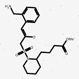 COC(=O)CCCC1CCCCN1S(=O)(=O)CC(Cl)=Cc1ccccc1CN